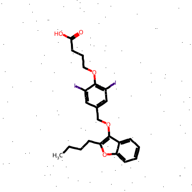 CCCCc1oc2ccccc2c1OCc1cc(I)c(OCCCC(=O)O)c(I)c1